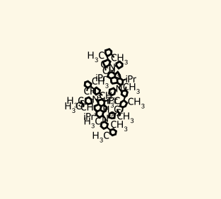 Cc1ccc(-c2c(C)cccc2C)cc1N(c1ccc(S(C)(C)C)cc1)c1cc(C(C)C)c2ccc3c(N(c4ccc(S(C)(C)Cc5cc(C)c(-c6ccc(C)c(N(c7ccccc7)c7cc(C(C)C)c8ccc9c(N(c%10ccccc%10)c%10cc(-c%11c(C)cccc%11C)ccc%10C)cc(C(C)C)c%10ccc7c8c%109)c6)c(C)c5)cc4)c4cc(-c5c(C)cccc5C)ccc4C)cc(C(C)C)c4ccc1c2c43